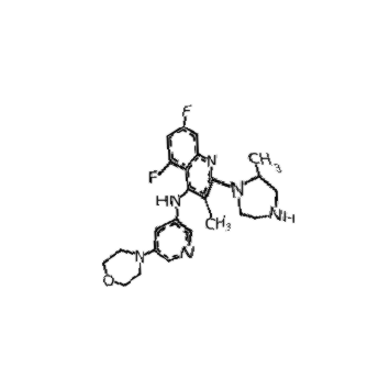 Cc1c(N2CCNCC2C)nc2cc(F)cc(F)c2c1Nc1cncc(N2CCOCC2)c1